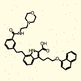 O=C(NCCN1CCOCC1)c1cccc(CCc2cccc3c(CCCOc4cccc5ccccc45)c(C(=O)O)[nH]c23)c1